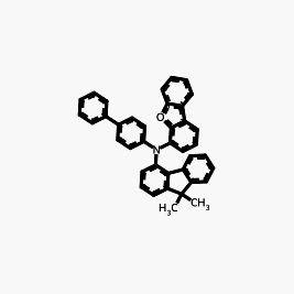 CC1(C)c2ccccc2-c2c(N(c3ccc(-c4ccccc4)cc3)c3cccc4c3oc3ccccc34)cccc21